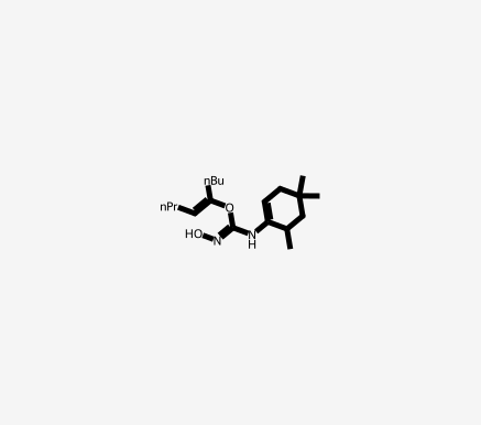 CCCC=C(CCCC)OC(=NO)NC1=CCC(C)(C)CC1C